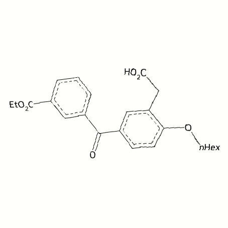 CCCCCCOc1ccc(C(=O)c2cccc(C(=O)OCC)c2)cc1CC(=O)O